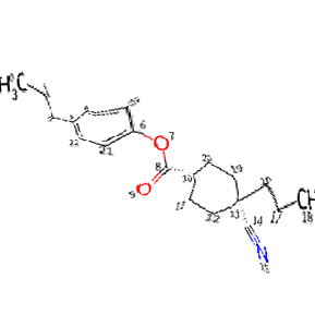 CCCc1ccc(OC(=O)[C@H]2CC[C@](C#N)(CCC)CC2)cc1